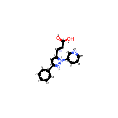 O=C(O)/C=C/c1cc(-c2ccccc2)nn1-c1cccnc1